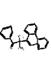 CC(C)(C(=O)c1ccccc1)c1cc2ccccc2c2ccccc12